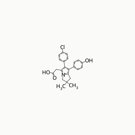 CC1(C)Cc2c(-c3ccc(O)cc3)c(-c3ccc(Cl)cc3)c(CC(=O)O)n2C1